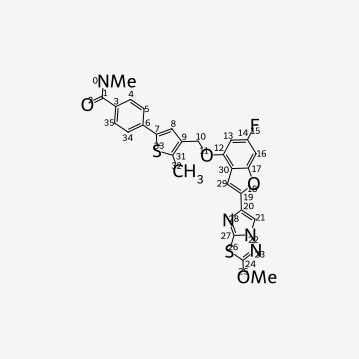 CNC(=O)c1ccc(-c2cc(COc3cc(F)cc4oc(-c5cn6nc(OC)sc6n5)cc34)c(C)s2)cc1